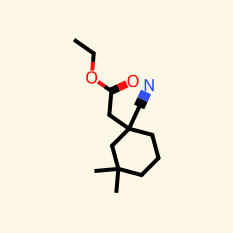 CCOC(=O)CC1(C#N)CCCC(C)(C)C1